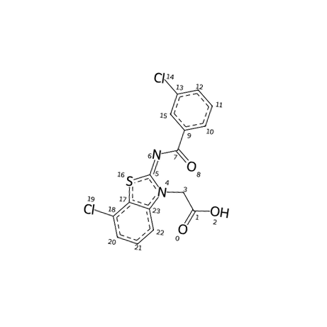 O=C(O)Cn1c(=NC(=O)c2cccc(Cl)c2)sc2c(Cl)cccc21